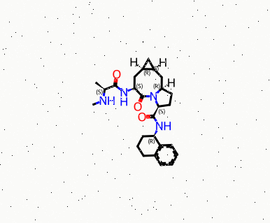 CN[C@@H](C)C(=O)N[C@H]1C[C@H]2C[C@H]2C[C@H]2CC[C@@H](C(=O)N[C@@H]3CCCc4ccccc43)N2C1=O